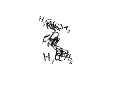 Cc1cn2cc(-c3cc(F)c4nn(C5CCN(C(=O)OC(C)(C)C)CC5)cc4c3)nc(C)c2n1